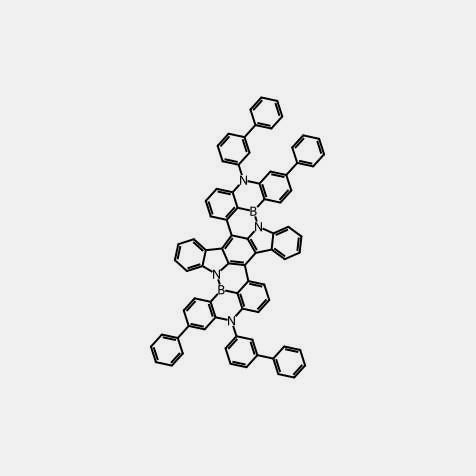 c1ccc(-c2cccc(N3c4cc(-c5ccccc5)ccc4B4c5c(cccc53)-c3c5c6ccccc6n6c5c(c5c7ccccc7n4c35)-c3cccc4c3B6c3ccc(-c5ccccc5)cc3N4c3cccc(-c4ccccc4)c3)c2)cc1